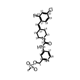 CS(=O)(=O)OCc1cc(NC(=O)N2CCC(=Cc3ccc(Cl)cc3F)CC2)ccn1